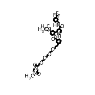 CCN1CCN(C(=O)CCOCCOCCOCCOCCCc2cccc(C(=O)Nc3ccc(N(CC)CC)cc3-c3cc(C(=O)NCc4cccc(C(F)(F)F)c4)ccn3)c2)CC1=O